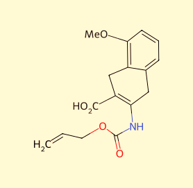 C=CCOC(=O)NC1=C(C(=O)O)Cc2c(cccc2OC)C1